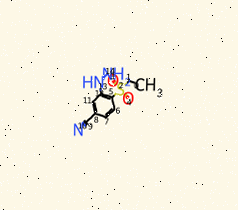 CCS(=O)(=O)c1ccc(C#N)cc1NN